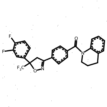 O=C(c1ccc(C2=NOC(c3ccc(F)c(F)c3)(C(F)(F)F)C2)cc1)N1CCCc2ccccc21